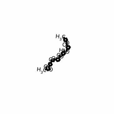 CC1=CC(=O)N(c2ccc(C(=O)CC(=O)c3cccc(C(=O)Oc4ccc(NC(=O)c5cccc(C(=O)Oc6ccc(C)cc6)c5)cc4)c3)cc2)C1=O